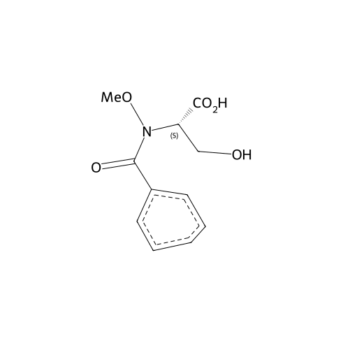 CON(C(=O)c1ccccc1)[C@@H](CO)C(=O)O